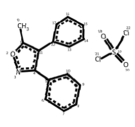 Cc1onc(-c2ccccc2)c1-c1ccccc1.O=S(=O)(Cl)Cl